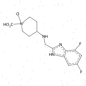 [O][N+]1(C(=O)O)CCC(NCc2nc3c(F)cc(F)cc3[nH]2)CC1